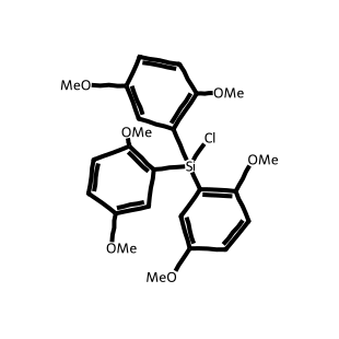 COc1ccc(OC)c([Si](Cl)(c2cc(OC)ccc2OC)c2cc(OC)ccc2OC)c1